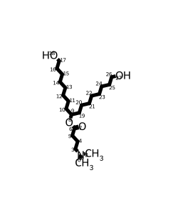 CN(C)CCCC(=O)OC(CCCCCCCCO)CCCCCCCCO